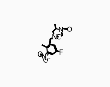 Cc1c(CN2CCN(C=O)C(C)C2)cc(F)cc1[N+](=O)[O-]